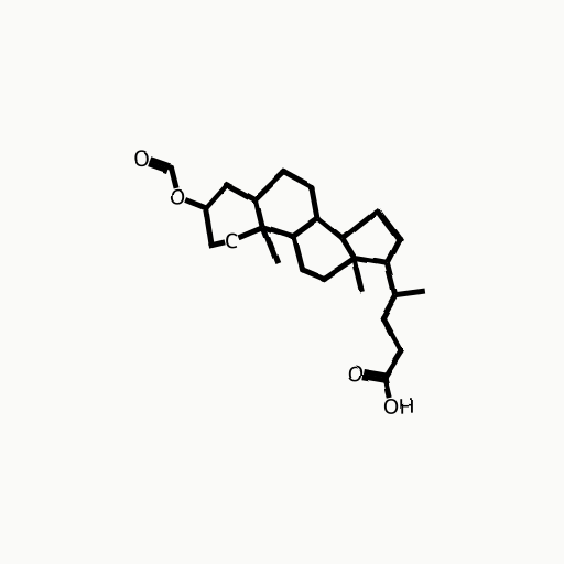 CC(CCC(=O)O)C1CCC2C3CCC4CC(OC=O)CCC4(C)C3CCC12C